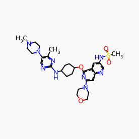 Cc1nc(NC2CCC(Oc3nc(N4CCOCC4)cc4ncc(NS(C)(=O)=O)cc34)CC2)ncc1N1CCN(C)CC1